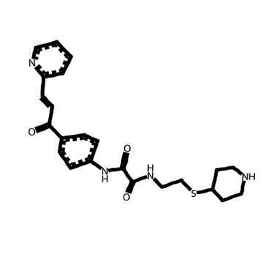 O=C(NCCSC1CCNCC1)C(=O)Nc1ccc(C(=O)/C=C/c2ccccn2)cc1